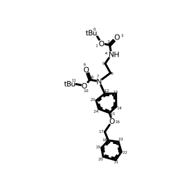 CC(C)(C)OC(=O)NCCN(C(=O)OC(C)(C)C)c1ccc(OCc2ccccc2)cc1